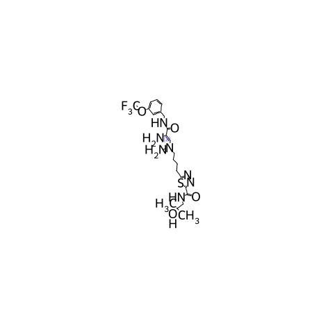 CC(C)(O)CNC(=O)c1nnc(CCCCN(N)/C=C(\N)C(=O)NCc2cccc(OC(F)(F)F)c2)s1